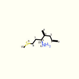 C=CCC(=C)[C@@H](N)CCSC